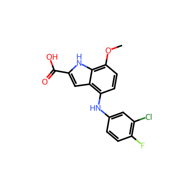 COc1ccc(Nc2ccc(F)c(Cl)c2)c2cc(C(=O)O)[nH]c12